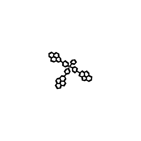 c1ccc([Si](c2ccc(-c3cc4ccc5cccc6ccc(c3)c4c56)cc2)(c2ccc(-c3cc4ccc5cccc6ccc(c3)c4c56)cc2)c2ccc(-c3cc4ccc5cccc6ccc(c3)c4c56)cc2)cc1